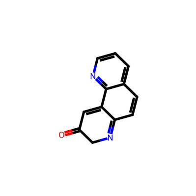 O=C1C=c2c(ccc3cccnc23)=NC1